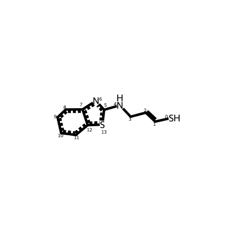 SC=CCNc1nc2ccccc2s1